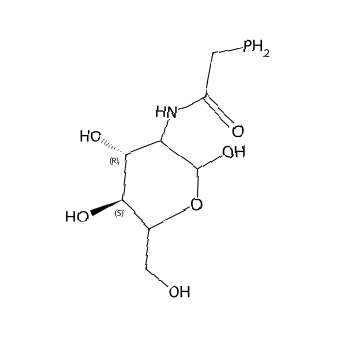 O=C(CP)NC1C(O)OC(CO)[C@@H](O)[C@@H]1O